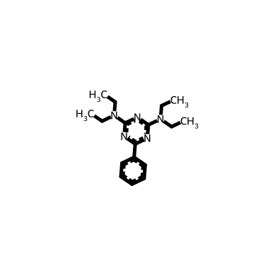 CCN(CC)c1nc(-c2ccccc2)nc(N(CC)CC)n1